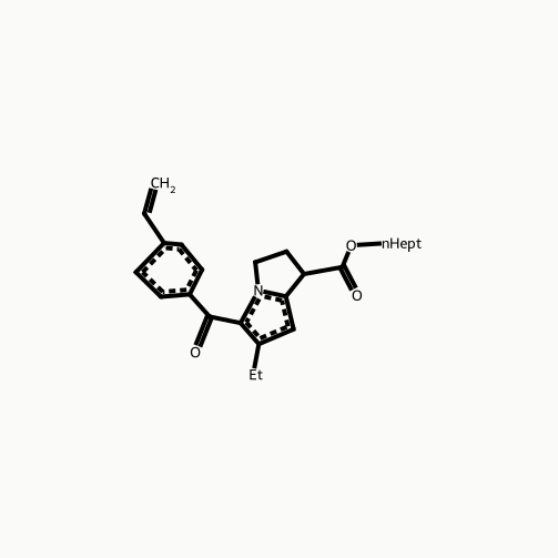 C=Cc1ccc(C(=O)c2c(CC)cc3n2CCC3C(=O)OCCCCCCC)cc1